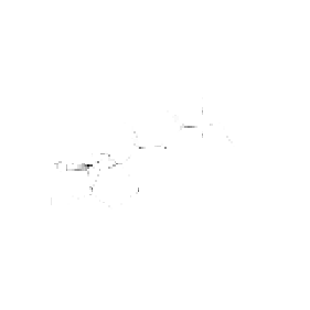 CCC(C)(C)C(=O)NC(=O)C12CCC(C)(C(=O)O1)C2(C)C